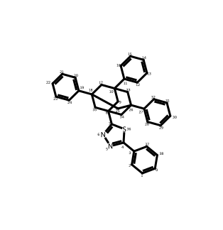 c1ccc(-c2nnc(C34CC5(c6ccccc6)CC(c6ccccc6)(CC(c6ccccc6)(C5)C3)C4)s2)cc1